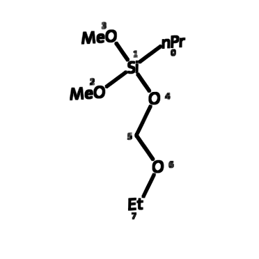 CCC[Si](OC)(OC)OCOCC